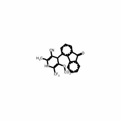 CC1=C(C#N)C(c2cccc3c2-c2ccccc2C3=O)C(OC(=O)O)=C(C(F)(F)F)N1